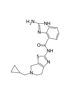 Nc1nc2c(C(=O)Nc3nc4c(s3)CN(CC3CC3)CC4)cccc2[nH]1